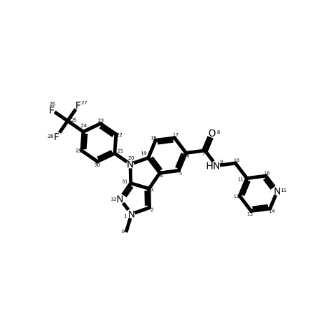 Cn1cc2c3cc(C(=O)NCc4cccnc4)ccc3n(-c3ccc(C(F)(F)F)cc3)c2n1